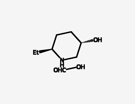 CC[C@H]1CC[C@H](O)CN1.O=CO